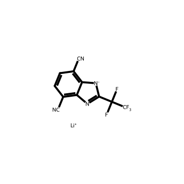 N#Cc1ccc(C#N)c2[n-]c(C(F)(F)C(F)(F)F)nc12.[Li+]